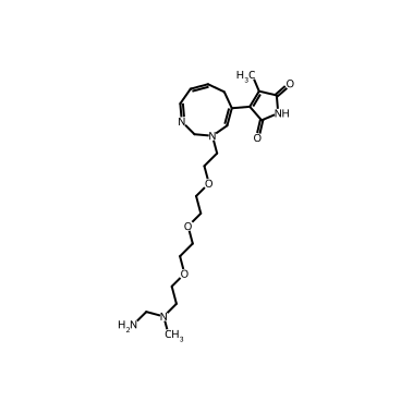 CC1=C(/C2=C/N(CCOCCOCCOCCN(C)CN)C/N=C\C=C/C2)C(=O)NC1=O